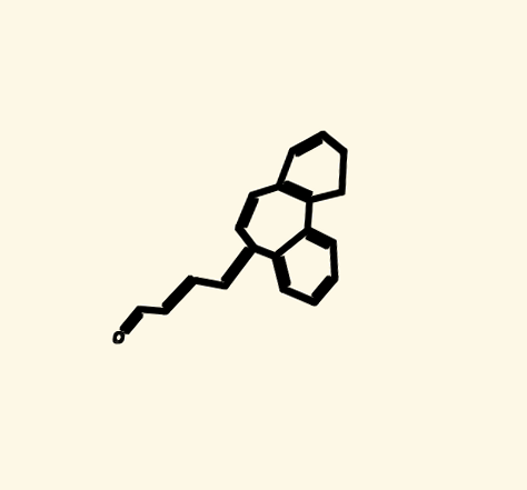 O=C/C=C/C=C1\C=CC2=C(CCC=C2)c2ccccc21